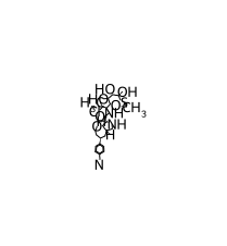 CSC1O[C@H]([C@H](NC(=O)[C@H]2NC[C@@H]3C[C@@H](c4ccc(C#N)cc4)CCO[C@H]32)[C@H](C)Cl)C(O)C(O)[C@H]1O